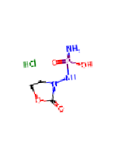 Cl.NP(=O)(O)NN1CCOC1=O